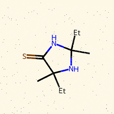 CCC1(C)NC(=S)C(C)(CC)N1